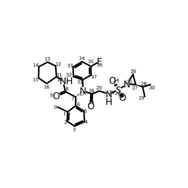 Cc1ccccc1[C@H](C(=O)NC1CCCCC1)N(C(=O)CNS(=O)(=O)N1C[C@H]1C(C)C)c1cccc(F)c1